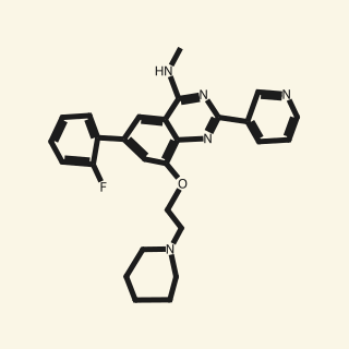 CNc1nc(-c2cccnc2)nc2c(OCCN3CCCCC3)cc(-c3ccccc3F)cc12